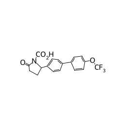 O=C(O)N1C(=O)CCC1c1ccc(-c2ccc(OC(F)(F)F)cc2)cc1